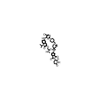 CNC(=O)COc1cc2cc(Nc3nc(N4CCC(CN5CCC6(CN(c7ccc8c(c7)C(=O)N(C7CCC(=O)NC7=O)C8=O)C6)CC5(C)C)CC4)ncc3Cl)ccc2n(C(C)C)c1=O